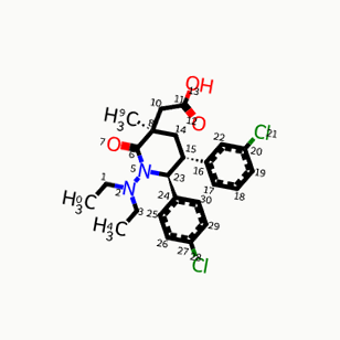 CCN(CC)N1C(=O)[C@@](C)(CC(=O)O)C[C@H](c2cccc(Cl)c2)[C@H]1c1ccc(Cl)cc1